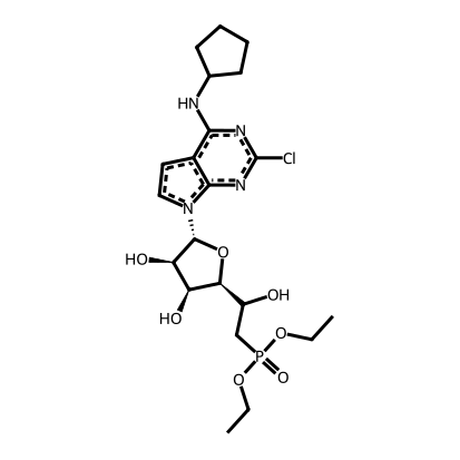 CCOP(=O)(CC(O)[C@@H]1O[C@@H](n2ccc3c(NC4CCCC4)nc(Cl)nc32)[C@H](O)[C@@H]1O)OCC